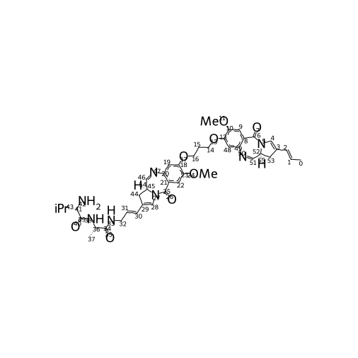 CC=CC1=CN2C(=O)c3cc(OC)c(OCCCOc4cc5c(cc4OC)C(=O)N4C=C(C=CCNC(=O)[C@H](C)NC(=O)[C@@H](N)C(C)C)C[C@H]4C=N5)cc3N=C[C@@H]2C1